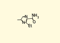 CCc1nc(C)cnc1C(N)=O